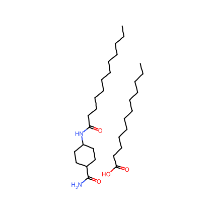 CCCCCCCCCCCC(=O)NC1CCC(C(N)=O)CC1.CCCCCCCCCCCC(=O)O